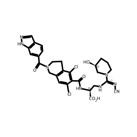 N#C/N=C(\NC[C@H](NC(=O)c1c(Cl)cc2c(c1Cl)CCN(C(=O)c1ccc3cn[nH]c3c1)C2)C(=O)O)N1CCC[C@H](O)C1